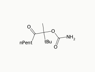 CCCCCC(=O)C(C)(OC(N)=O)C(C)(C)C